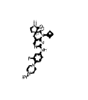 CC(C)N1CCN(c2ccc(Nc3ncc4c(n3)N(C35CC(C3)C5)C(=O)[C@]3(CCNC3=O)C4)cc2F)CC1